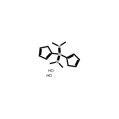 C[Si](C)=[Ti]([C]1=CC=CC1)([C]1=CC=CC1)=[Si](C)C.Cl.Cl